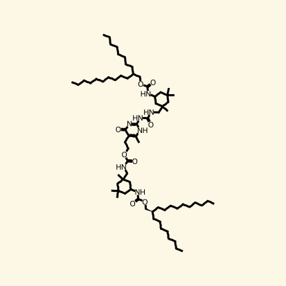 CCCCCCCCCCC(CCCCCCCC)COC(=O)NC1CC(C)(C)CC(C)(CNC(=O)Nc2nc(=O)c(CCOC(=O)NCC3(C)CC(NC(=O)OC[C@H](CCCCCCCC)CCCCCCCCCC)CC(C)(C)C3)c(C)[nH]2)C1